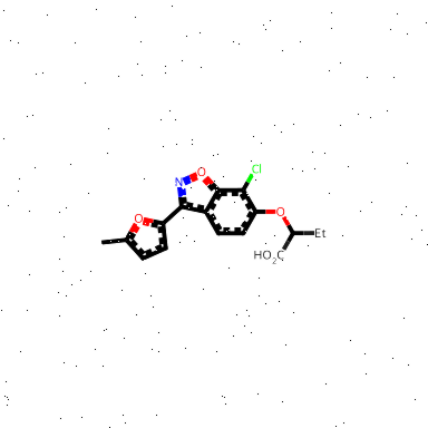 CCC(Oc1ccc2c(-c3ccc(C)o3)noc2c1Cl)C(=O)O